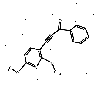 COc1ccc(C#CC(=O)c2ccccc2)c(OC)n1